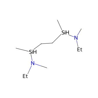 CCN(C)[SiH](C)CC[SiH](C)N(C)CC